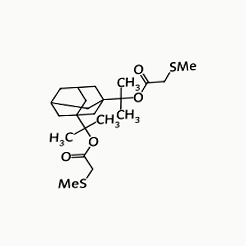 CSCC(=O)OC(C)(C)C12CC3CC(C1)CC(C(C)(C)OC(=O)CSC)(C3)C2